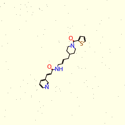 O=C(/C=C/c1cccnc1)NC/C=C/CC1CCN(C(=O)c2cccs2)CC1